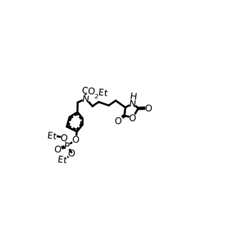 CCOC(=O)N(CCCCC1NC(=O)OC1=O)Cc1ccc(OP(=O)(OCC)OCC)cc1